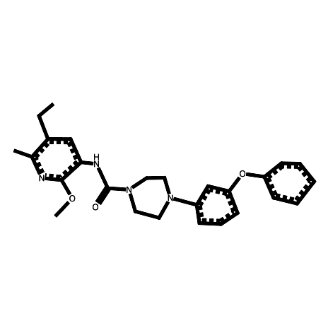 CCc1cc(NC(=O)N2CCN(c3cccc(Oc4ccccc4)c3)CC2)c(OC)nc1C